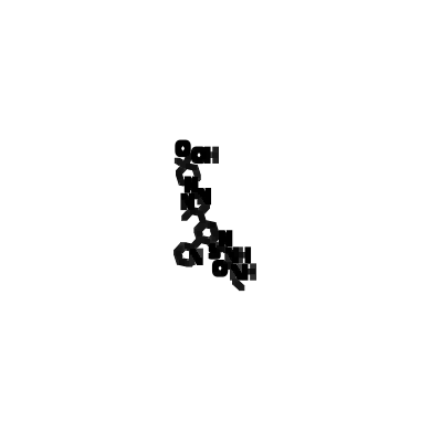 CCNC(=O)Nc1nc2cc(-c3cnc(N4CCC(C)(C(=O)O)CC4)nc3C)cc(-c3ccccn3)c2s1